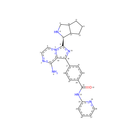 Nc1nccn2c([C@H]3NCC4CCCC43)nc(-c3ccc(C(=O)Nc4ccccn4)cc3)c12